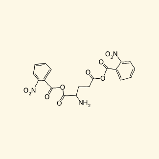 NC(CCC(=O)OC(=O)c1ccccc1[N+](=O)[O-])C(=O)OC(=O)c1ccccc1[N+](=O)[O-]